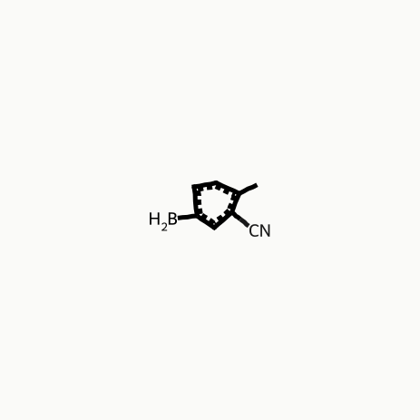 Bc1ccc(C)c(C#N)c1